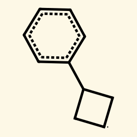 [CH]1CC(c2ccccc2)C1